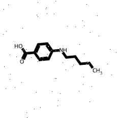 CCCCCNc1ccc(C(=O)O)cc1